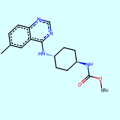 Cc1ccc2ncnc(N[C@H]3CC[C@H](NC(=O)OC(C)(C)C)CC3)c2c1